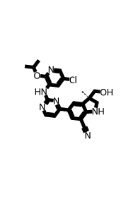 CC(C)Oc1ncc(Cl)cc1Nc1nccc(-c2cc(C#N)c3c(c2)[C@@](C)(CO)CN3)n1